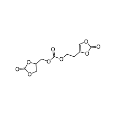 O=C(OCCc1coc(=O)o1)OCC1COC(=O)O1